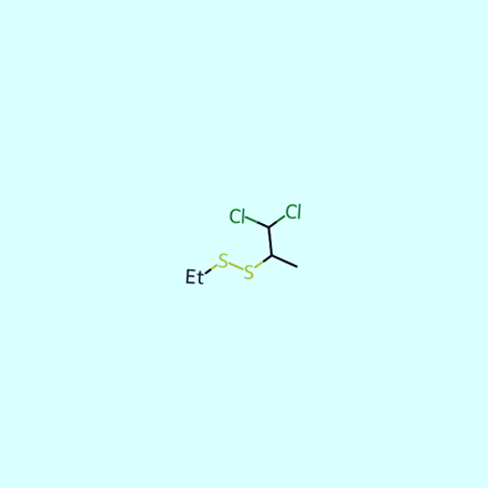 CCSSC(C)C(Cl)Cl